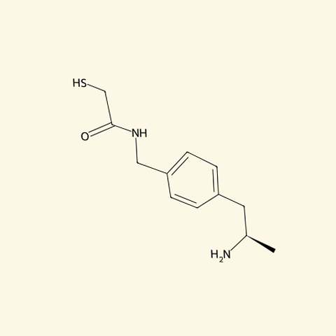 C[C@@H](N)Cc1ccc(CNC(=O)CS)cc1